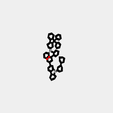 c1ccc(-c2cccc(-n3c4ccccc4c4ccc(-c5cccc(-c6ccccc6N(c6ccccc6)c6ccc7c(c6)C(c6ccccc6)(c6ccccc6)c6ccccc6-7)c5)cc43)c2)cc1